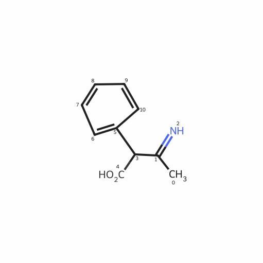 CC(=N)C(C(=O)O)c1ccccc1